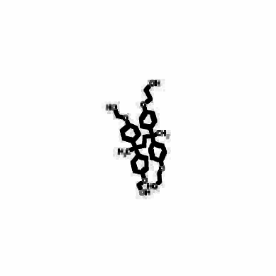 CC(CCC(C)(c1ccc(OCCO)cc1)c1ccc(OCCO)cc1)(c1ccc(OCO)cc1)c1ccc(OCO)cc1